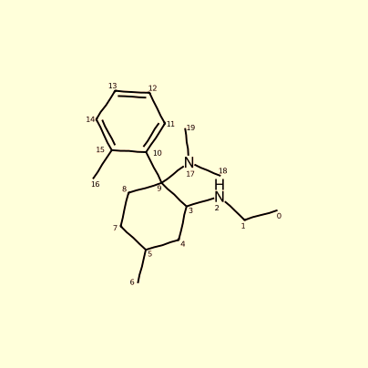 CCNC1CC(C)CCC1(c1ccccc1C)N(C)C